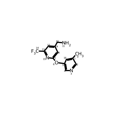 Cc1cncc(Oc2cc(CN)cc(C(F)(F)F)n2)c1